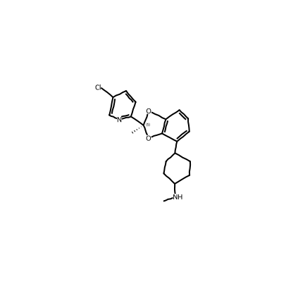 CNC1CCC(c2cccc3c2O[C@@](C)(c2ccc(Cl)cn2)O3)CC1